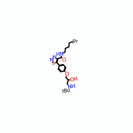 CC(C)CCCCNC(=O)c1nnsc1-c1ccc(OCC(O)CNC(C)(C)C)cc1